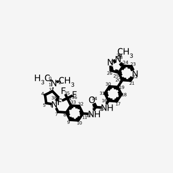 CN(C)[C@H]1CCN(Cc2ccc(NC(=O)Nc3ccc(-c4cncc5c4cnn5C)cc3)cc2C(F)(F)F)C1